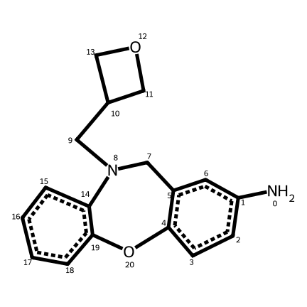 Nc1ccc2c(c1)CN(CC1COC1)c1ccccc1O2